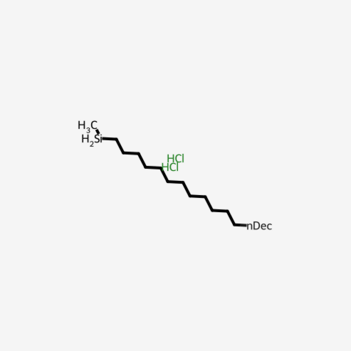 CCCCCCCCCCCCCCCCCCCCCC[SiH2]C.Cl.Cl